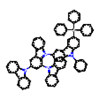 c1ccc(-n2c3ccc(-n4c5ccccc5c5cc(-n6c7ccccc7c7ccccc76)cc(-n6c7ccccc7c7ccccc76)c54)cc3c3cc([Si](c4ccccc4)(c4ccccc4)c4ccccc4)ccc32)cc1